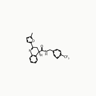 [2H]C1(C(=O)NCc2ccc(C(F)(F)F)cc2)CC(c2ccc(C)o2)=Nc2ccccc21